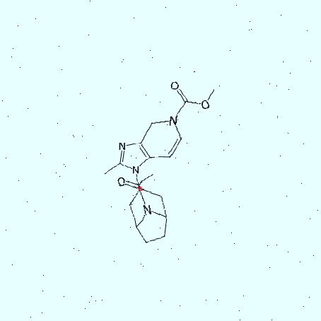 COC(=O)N1C=Cc2c(nc(C)n2C2CC3CCC(C2)N3C(C)=O)C1